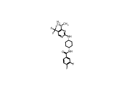 CN(C)c1nc(N[C@H]2CC[C@@H](NC(=O)c3ccc(F)c(F)c3)CC2)ncc1C(F)(F)F